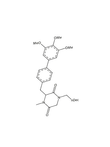 CCCCCCCCCCCN1CC(=O)N(C)C(Cc2ccc(-c3cc(OC)c(OC)c(OC)c3)cc2)C1=O